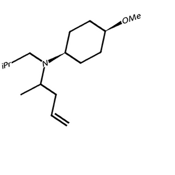 C=CCC(C)N(CC(C)C)[C@H]1CC[C@@H](OC)CC1